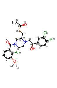 COc1cccc(C(=O)N2CCN(CC(O)c3ccc(F)c(Cl)c3)[C@H](CSC(C)=O)C2)c1Cl